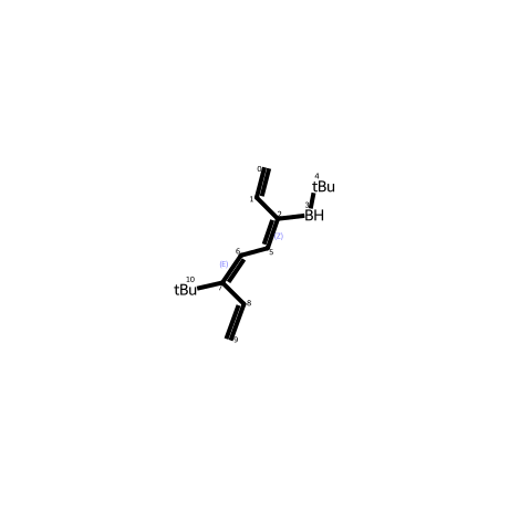 C=C/C(BC(C)(C)C)=C\C=C(/C=C)C(C)(C)C